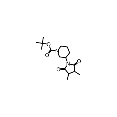 CC1C(=O)N(C2CCCN(C(=O)OC(C)(C)C)C2)C(=O)C1C